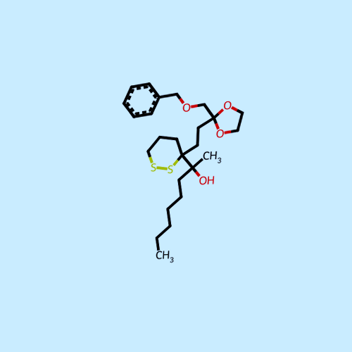 CCCCCCC(C)(O)C1(CCC2(COCc3ccccc3)OCCO2)CCCSS1